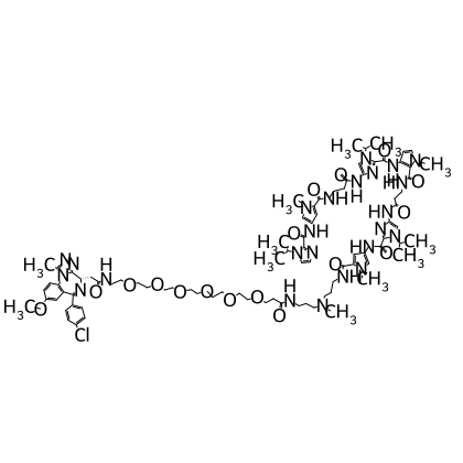 COc1ccc2c(c1)C(c1ccc(Cl)cc1)=N[C@@H](CC(=O)NCCOCCOCCOCCOCCOCCOCCC(=O)NCCCN(C)CCCNC(=O)c1cc(NC(=O)c3nc(NC(=O)CCNC(=O)c4c(NC(=O)c5nc(NC(=O)CCNC(=O)c6cc(NC(=O)c7nccn7C(C)C)cn6C)cn5C(C)C)ccn4C)cn3C(C)C)cn1C)c1nnc(C)n1-2